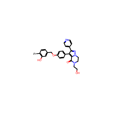 CC(C)c1ccc(COc2ccc(-c3c(-c4ccncc4)nn4c3C(=O)N(CCO)CC4)cc2)cc1O